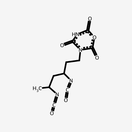 CC(CC(CCn1c(=O)[nH]c(=O)oc1=O)N=C=O)N=C=O